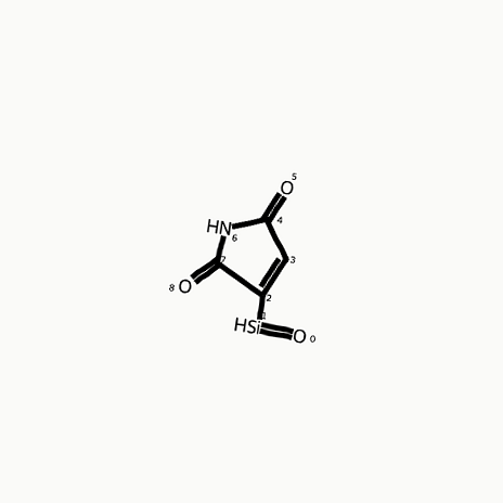 O=[SiH]C1=CC(=O)NC1=O